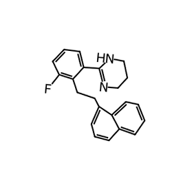 Fc1cccc(C2=NCCCN2)c1CCc1cccc2ccccc12